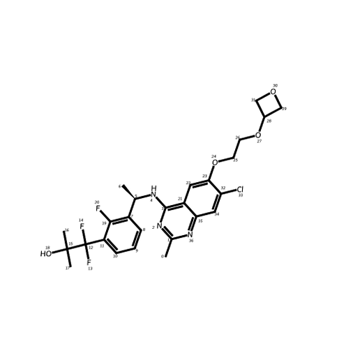 Cc1nc(N[C@H](C)c2cccc(C(F)(F)C(C)(C)O)c2F)c2cc(OCCOC3COC3)c(Cl)cc2n1